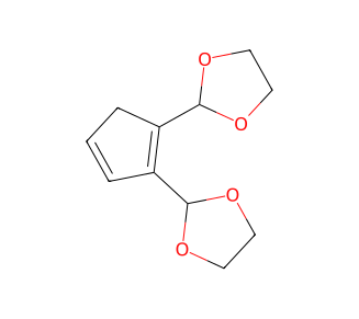 C1=CC(C2OCCO2)=C(C2OCCO2)C1